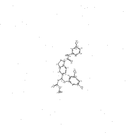 CC(C)(C)OC(=O)CN(Sc1cc(Cl)cc(Cl)c1)c1ccc2c(c1)CCN2C(=O)Nc1ccc[n+]([O-])c1